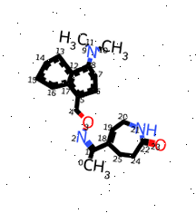 CC(=NOCc1ccc(N(C)C)c2ccccc12)C1=CCNC(=O)CC1